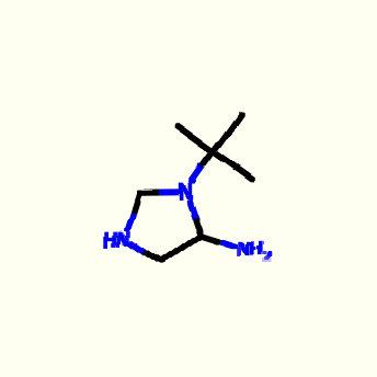 CC(C)(C)N1CNCC1N